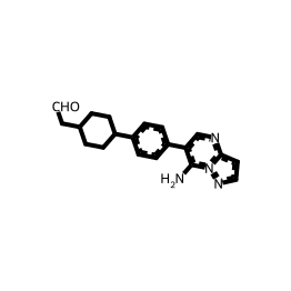 Nc1c(-c2ccc(C3CCC(CC=O)CC3)cc2)cnc2ccnn12